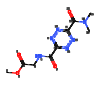 COC(=O)CNC(=O)c1nnc(C(=O)N(C)C)nn1